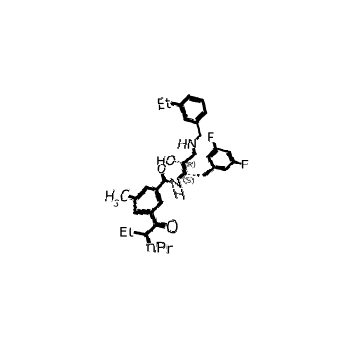 CCCC(CC)C(=O)c1cc(C)cc(C(=O)N[C@@H](Cc2cc(F)cc(F)c2)[C@H](O)CNCc2cccc(CC)c2)c1